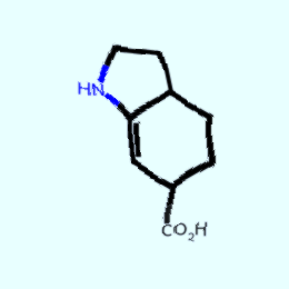 O=C(O)C1C=C2NCCC2CC1